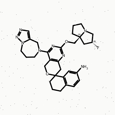 Nc1ccc2c(c1)C1(CCC2)Cc2nc(OC[C@@]34CCCN3C[C@H](F)C4)nc(N3CCCn4nncc4C3)c2CO1